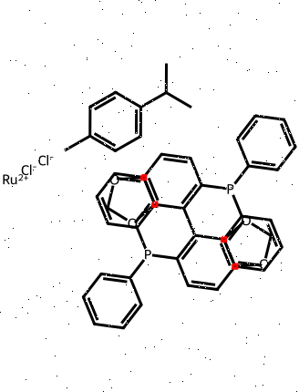 Cc1ccc(C(C)C)cc1.[Cl-].[Cl-].[Ru+2].c1ccc(P(c2ccccc2)c2ccc3c(c2-c2c(P(c4ccccc4)c4ccccc4)ccc4c2OCO4)OCO3)cc1